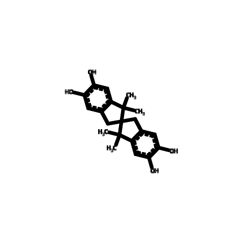 CC1(C)c2cc(O)c(O)cc2CC12Cc1cc(O)c(O)cc1C2(C)C